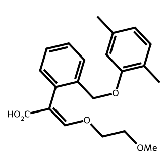 COCCO/C=C(/C(=O)O)c1ccccc1COc1cc(C)ccc1C